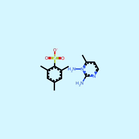 Cc1cc(C)c(S(=O)(=O)[O-])c(C)c1.Cc1ccnc(N)[n+]1N